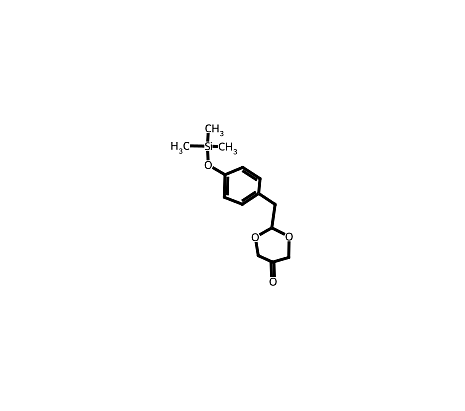 C[Si](C)(C)Oc1ccc(CC2OCC(=O)CO2)cc1